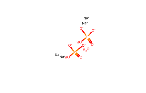 O.O=P([O-])([O-])O.O=P([O-])([O-])O.[Na+].[Na+].[Na+].[Na+]